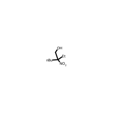 CCCCC(CC)(CO)[N+](=O)[O-]